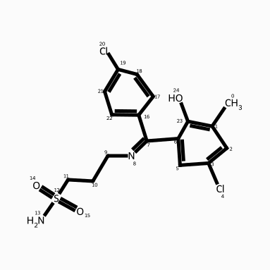 Cc1cc(Cl)cc(C(=NCCCS(N)(=O)=O)c2ccc(Cl)cc2)c1O